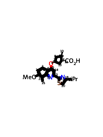 COc1ccc2c(O[C@@H]3C[C@@H](C)[C@H](C(=O)O)C3)cc(-c3nc(C(C)C)cs3)nc2c1C